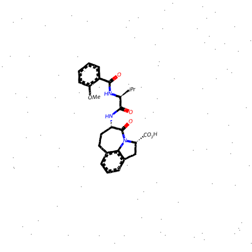 COc1ccccc1C(=O)N[C@H](C(=O)N[C@H]1CCc2cccc3c2N(C1=O)[C@H](C(=O)O)C3)C(C)C